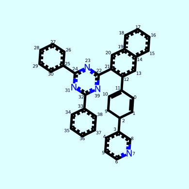 C1=CC(c2cccnc2)CC=C1c1cc2ccccc2cc1-c1nc(-c2ccccc2)nc(-c2ccccc2)n1